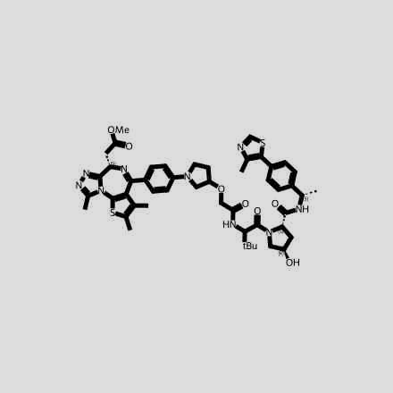 COC(=O)C[C@@H]1N=C(c2ccc(N3CCC(OCC(=O)NC(C(=O)N4C[C@H](O)C[C@H]4C(=O)N[C@@H](C)c4ccc(-c5scnc5C)cc4)C(C)(C)C)C3)cc2)c2c(sc(C)c2C)-n2c(C)nnc21